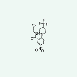 O=C(NCC1CC1)c1cc([N+](=O)[O-])ccc1N1CCC(C(F)(F)F)CC1